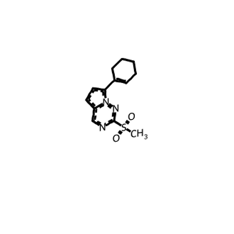 CS(=O)(=O)c1ncc2ccc(C3=CCCCC3)n2n1